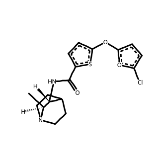 C[C@H]1[C@H](NC(=O)c2ccc(Oc3ccc(Cl)o3)s2)C2CCN1CC2